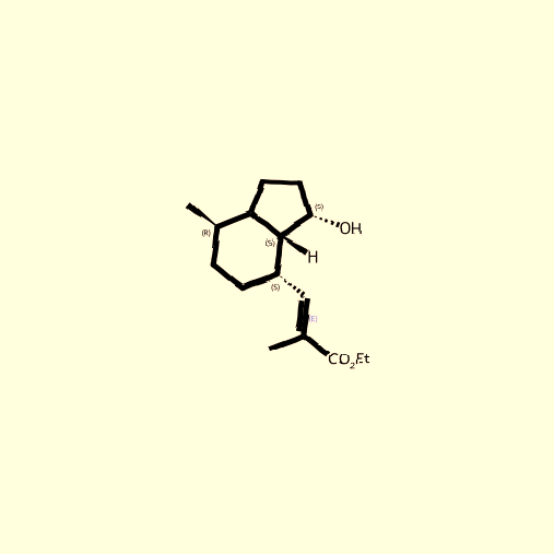 CCOC(=O)/C(C)=C/[C@@H]1CC[C@@H](C)C2CC[C@H](O)[C@@H]21